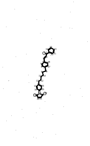 O=C(C=Cc1ccc(CCCCCCc2ccc(N3C(=O)C=CC3=O)cc2)cc1)c1ccccc1